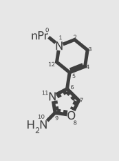 CCCN1CCC=C(c2coc(N)n2)C1